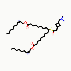 CCCCCC/C=C\COC(=O)CCCCCCCC(CCCCCCCC(=O)OC/C=C\CCCCCC)SC(=O)CC1CC(CN(C)C)C1